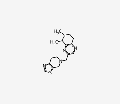 CC1c2nc(CN3CCc4ncsc4C3)cnc2CCN1C